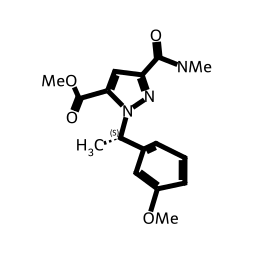 CNC(=O)c1cc(C(=O)OC)n([C@@H](C)c2cccc(OC)c2)n1